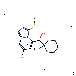 CCSc1ncc2cc(Cl)cc(C(O)C3(C)CCCCC3)n12